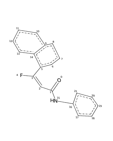 O=C(/C=C(/F)c1cccc2ccccc12)Nc1ccccc1